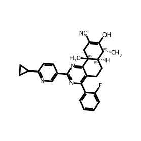 C[C@H]1C(O)=C(C#N)C[C@@]2(C)c3nc(-c4ccc(C5CC5)nc4)nc(-c4ccccc4F)c3CC[C@H]12